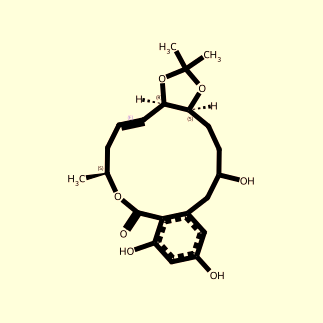 C[C@H]1C/C=C/[C@H]2OC(C)(C)O[C@H]2CCC(O)Cc2cc(O)cc(O)c2C(=O)O1